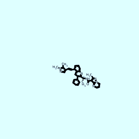 Cc1nn2cccnc2c1C(=O)N[C@@H](C)c1nc2cccc(C#Cc3cnn(C)c3C)c2cc1-c1ccccc1